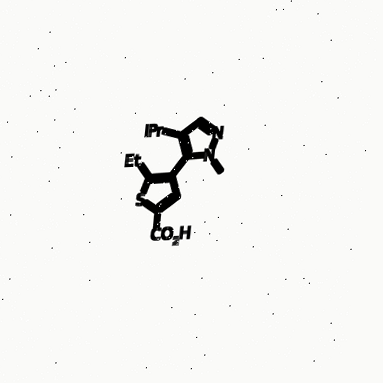 CCc1sc(C(=O)O)cc1-c1c(C(C)C)cnn1C